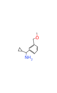 COCc1cccc(C(N)C2CC2)c1